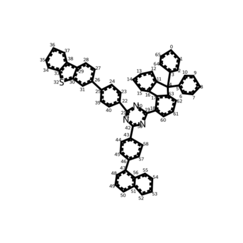 c1ccc(C2(c3ccccc3)c3ccccc3-c3c(-c4nc(-c5ccc(-c6ccc7c(c6)sc6ccccc67)cc5)nc(-c5ccc(-c6cccc7ccccc67)cc5)n4)cccc32)cc1